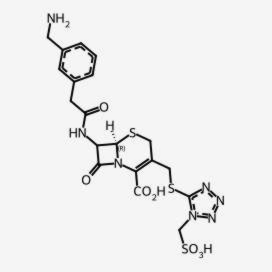 NCc1cccc(CC(=O)NC2C(=O)N3C(C(=O)O)=C(CSc4nnnn4CS(=O)(=O)O)CS[C@H]23)c1